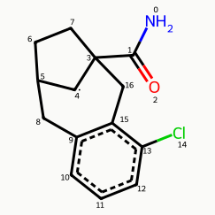 NC(=O)C12[CH]C(CC1)Cc1cccc(Cl)c1C2